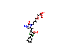 O=C(O)COCCCCN1C(=O)NC[C@@H]1C=CC(O)C(F)(F)c1ccccc1